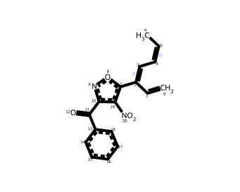 C=C/C(=C\C=C/C)c1onc(C(=O)c2ccccc2)c1[N+](=O)[O-]